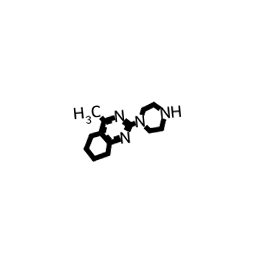 Cc1nc(N2CCNCC2)nc2c1CCCC2